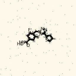 O=C(NO)c1cc(F)c(Cn2nnc(-c3cccs3)n2)c(F)c1